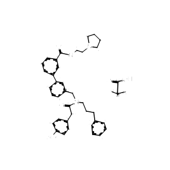 O=C(NCCN1CCCC1)c1cccc(-c2cccc(CN(CCCc3ccccc3)C(=O)Cc3ccc(Br)cc3)c2)c1.O=C(O)C(F)(F)F